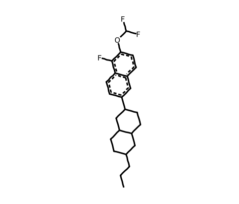 CCCC1CCC2CC(c3ccc4c(F)c(OC(F)F)ccc4c3)CCC2C1